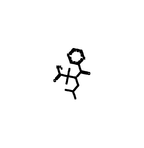 CC(C)CN(C(=O)c1cnccn1)C(C)(C)C(N)=O